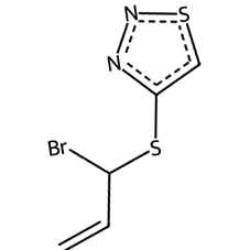 C=CC(Br)Sc1csnn1